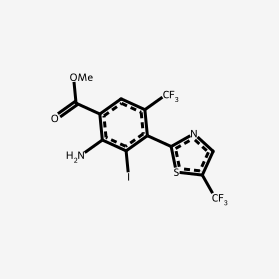 COC(=O)c1cc(C(F)(F)F)c(-c2ncc(C(F)(F)F)s2)c(I)c1N